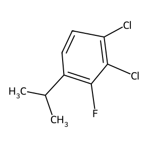 CC(C)c1ccc(Cl)c(Cl)c1F